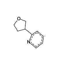 [c]1ccnc(C2CCOC2)c1